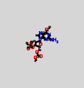 COC(=O)OC[C@H]1O[C@H](n2cnc3c(OC)nc(N)nc32)C[C@H]1OS(C)(=O)=O